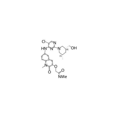 CNC(=O)COc1cc2cc(Nc3nc(N4C[C@@H](C)C[C@@H](CO)C4)ncc3Cl)ccc2n(C)c1=O